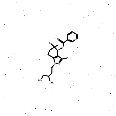 Cc1nn(CCC(C)CO)c2c1[C@H](OC(=O)c1ccccc1)C(F)(F)CC2